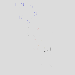 C=C(C)[C@H]1CC[C@@]2(C)O[P@](=S)(O[C@H]3[C@@H](F)[C@H](n4cnc5c(N)ncnc54)O[C@@H]3CC)S[C@@H]2C1